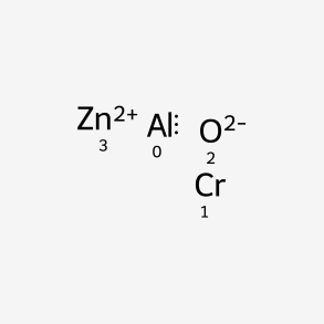 [Al].[Cr].[O-2].[Zn+2]